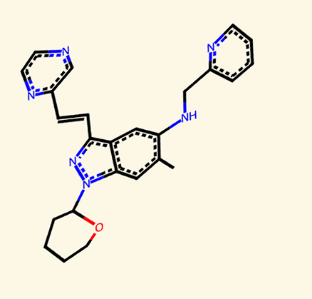 Cc1cc2c(cc1NCc1ccccn1)c(C=Cc1cnccn1)nn2C1CCCCO1